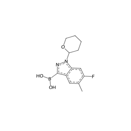 Cc1cc2c(B(O)O)nn(C3CCCCO3)c2cc1F